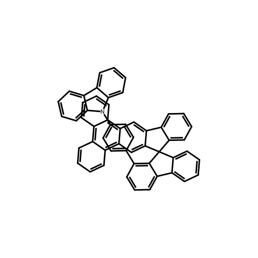 c1ccc2c(c1)-c1cc3c4ccccc4c4ccccc4c3cc1C21c2ccccc2-c2cccc(-c3ccc(-n4c5ccccc5c5ccccc54)cc3)c21